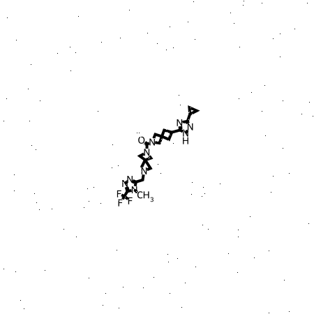 Cn1c(CN2CC3(C2)CN(C(=O)N2CC4(CC(c5nc(C6CC6)n[nH]5)C4)C2)C3)nnc1C(F)(F)F